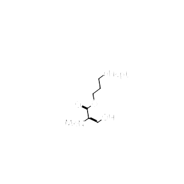 [CH2-][NH2+]/C(=C/O)C(=O)OCCCCCCCCCC